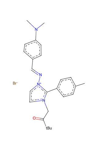 Cc1ccc(-c2n(CC(=O)C(C)(C)C)cc[n+]2N=Cc2ccc(N(C)C)cc2)cc1.[Br-]